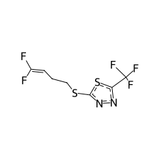 FC(F)=CCCSc1nnc(C(F)(F)F)s1